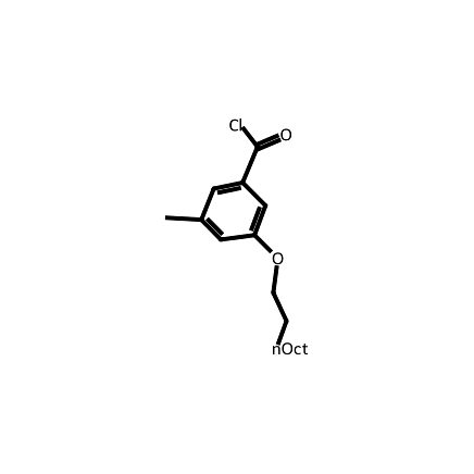 CCCCCCCCCCOc1cc(C)cc(C(=O)Cl)c1